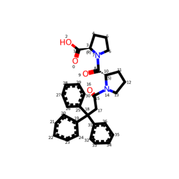 O=C(O)[C@H]1CCCN1C(=O)[C@@H]1CCCN1C(=O)CC(c1ccccc1)(c1ccccc1)c1ccccc1